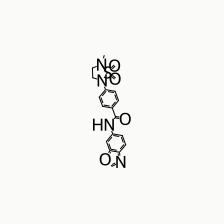 CN1CCN(c2ccc(C(=O)Nc3ccc4ncoc4c3)cc2)S1(=O)=O